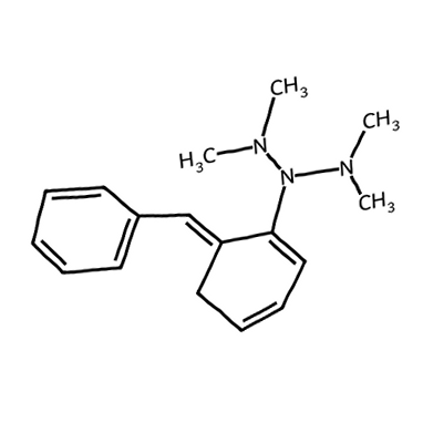 CN(C)N(C1=CC=CCC1=Cc1ccccc1)N(C)C